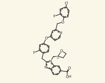 O=C(O)c1ccc2nc(Cc3ccc(Oc4ccnc(COc5ccc(Cl)cc5F)c4)cc3F)n(C[C@@H]3CCO3)c2c1